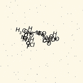 COc1cc2ncnc(Nc3ccc(F)c(Cl)c3)c2cc1NC(=O)CCCN1CCN(C(=O)CNc2cccc3c2CN(C2CCC(=O)NC2=O)C3=O)CC1